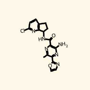 Cc1nc(C(=O)NC2CCc3ccc(Cl)nc32)c(N)nc1-c1ncco1